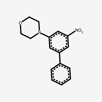 O=[N+]([O-])c1cc(-c2ccccc2)cc(N2CCOCC2)c1